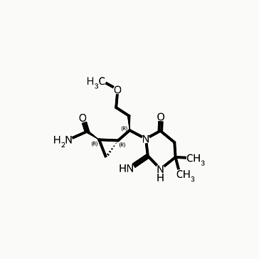 COCC[C@H]([C@@H]1C[C@H]1C(N)=O)N1C(=N)NC(C)(C)CC1=O